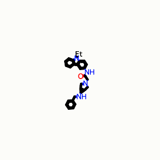 CCn1c2ccccc2c2cc(NC(=O)CN3CC4C(C3)C4NCc3ccccc3)ccc21